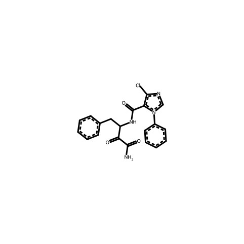 NC(=O)C(=O)C(Cc1ccccc1)NC(=O)c1c(Cl)ncn1-c1ccccc1